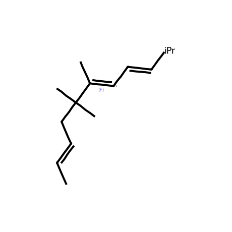 CC=CCC(C)(C)/C(C)=[C]/C=CC(C)C